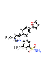 Cc1cc(S(N)(=O)=O)ccc1-n1nc(C(F)(F)F)cc1-c1ccc(-c2ccco2)cc1